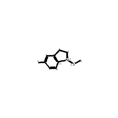 CSN1CCc2cc(C)ccc21